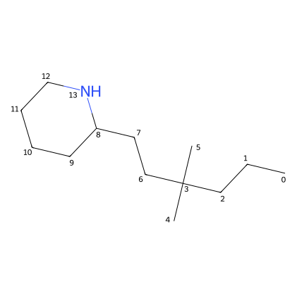 CCCC(C)(C)CCC1CCCCN1